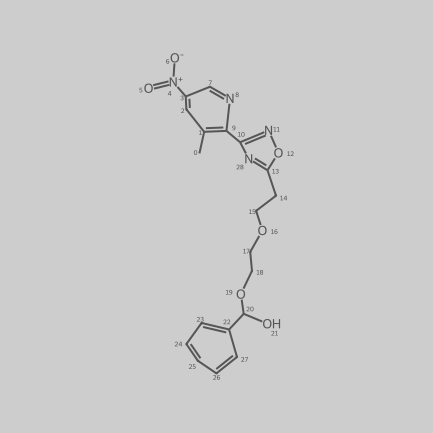 Cc1cc([N+](=O)[O-])cnc1-c1noc(CCOCCOC(O)c2ccccc2)n1